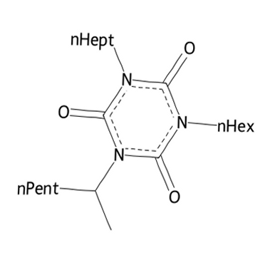 CCCCCCCn1c(=O)n(CCCCCC)c(=O)n(C(C)CCCCC)c1=O